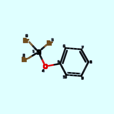 Br[Si](Br)(Br)Oc1ccccc1